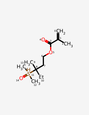 C=C(C)C(=O)OCCC(C)(CC)[SH](C)(C)=O